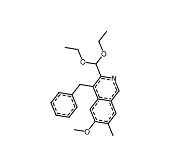 CCOC(OCC)c1ncc2cc(C)c(OC)cc2c1Cc1ccccc1